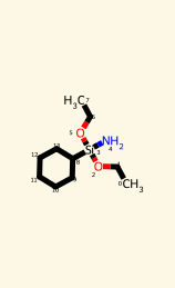 CCO[Si](N)(OCC)C1CCCCC1